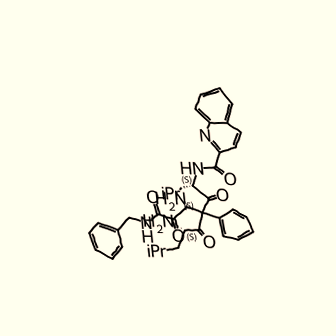 CC(C)C[C@H](NC(=O)c1ccc2ccccc2n1)C(=O)C(C(=O)[C@@H](N)CC(C)C)(c1ccccc1)[C@H](N)C(=O)C(=O)NCc1ccccc1